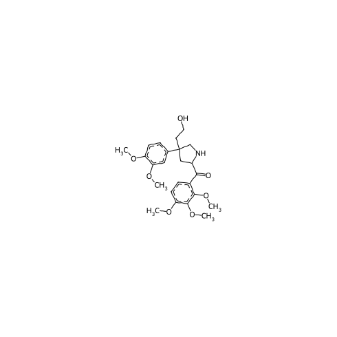 COc1ccc(C2(CCO)CNC(C(=O)c3ccc(OC)c(OC)c3OC)C2)cc1OC